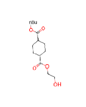 CCCCOC(=O)C1CCC(C(=O)OCCO)CC1